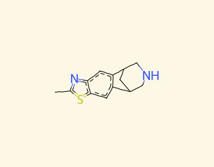 Cc1nc2cc3c(cc2s1)C1CNCC3C1